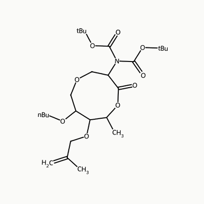 C=C(C)COC1C(C)OC(=O)C(N(C(=O)OC(C)(C)C)C(=O)OC(C)(C)C)COCC1OCCCC